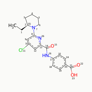 CC[C@H]1CCCCN1c1cc(Cl)cc(C(=O)Nc2ccc(C(=O)O)cc2)n1